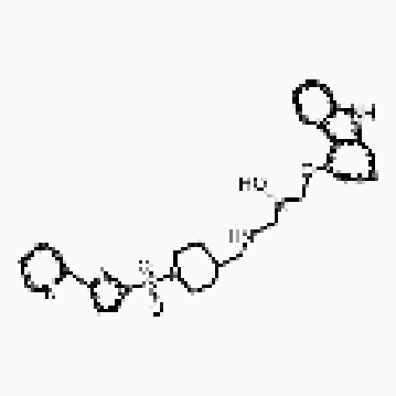 O=S(=O)(c1ccc(-c2ccccn2)s1)N1CCC(CNC[C@H](O)COc2cccc3[nH]c4ccccc4c23)CC1